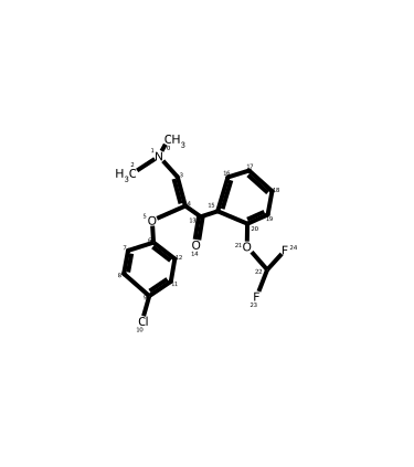 CN(C)C=C(Oc1ccc(Cl)cc1)C(=O)c1ccccc1OC(F)F